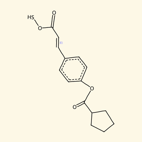 O=C(/C=C/c1ccc(OC(=O)C2CCCC2)cc1)OS